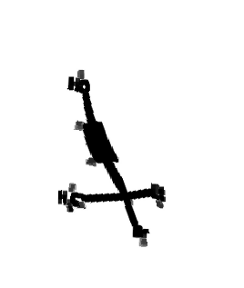 CCC(C)(Br)C#CO